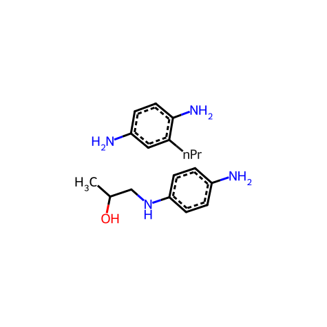 CC(O)CNc1ccc(N)cc1.CCCc1cc(N)ccc1N